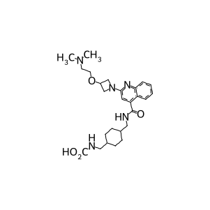 CN(C)CCOC1CN(c2cc(C(=O)NCC3CCC(CNC(=O)O)CC3)c3ccccc3n2)C1